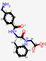 NCc1ccc(C(=O)N[C@@H](Cc2ccccc2)C(=O)NCC(=O)O)cc1